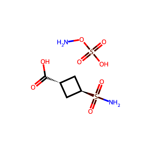 NOS(=O)(=O)O.NS(=O)(=O)[C@H]1C[C@H](C(=O)O)C1